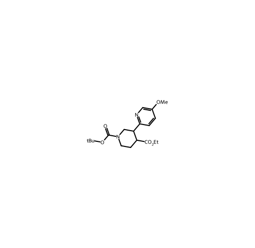 CCOC(=O)C1CCN(C(=O)OC(C)(C)C)CC1c1ccc(OC)cn1